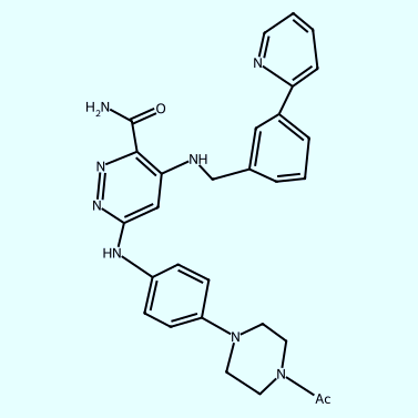 CC(=O)N1CCN(c2ccc(Nc3cc(NCc4cccc(-c5ccccn5)c4)c(C(N)=O)nn3)cc2)CC1